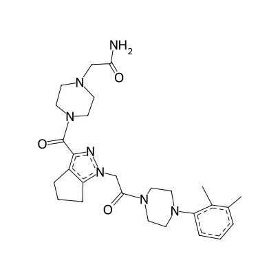 Cc1cccc(N2CCN(C(=O)Cn3nc(C(=O)N4CCN(CC(N)=O)CC4)c4c3CCC4)CC2)c1C